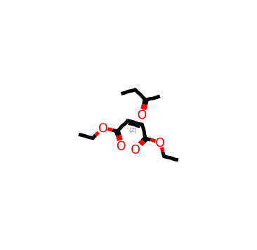 CCC(C)=O.CCOC(=O)/C=C\C(=O)OCC